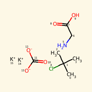 CC(C)(C)Cl.NCC(=O)O.O=C([O-])[O-].[K+].[K+]